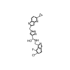 OC(NCc1ncn2ccc(Cl)c(F)c12)c1cn(Cc2cn3nc(C4CC4)ccc3n2)nn1